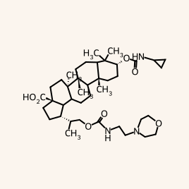 CC(COC(=O)NCCN1CCOCC1)[C@@H]1CC[C@]2(C(=O)O)CC[C@]3(C)C(CCC4[C@@]5(C)CC[C@@H](OC(=O)NC6CC6)C(C)(C)C5CC[C@]43C)C12